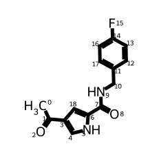 CC(=O)c1c[nH]c(C(=O)NCc2ccc(F)cc2)c1